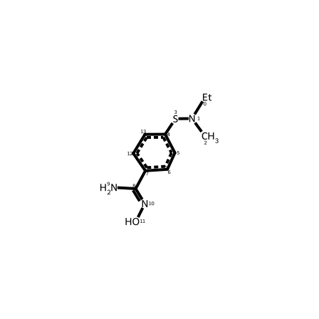 CCN(C)Sc1ccc(/C(N)=N/O)cc1